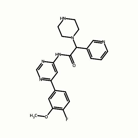 COc1cc(-c2cc(NC(=O)C(c3cccnc3)N3CCNCC3)ncn2)ccc1F